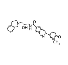 Cn1cc(-c2cn3cc(C(=O)NCC(O)CN4CCc5ccccc5C4)nc3cn2)ccc1=O